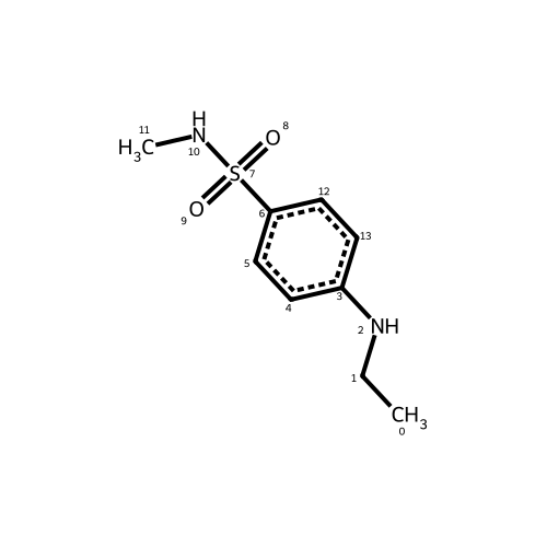 CCNc1ccc(S(=O)(=O)NC)cc1